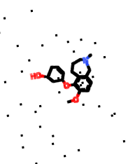 COc1ccc2c(c1O[C@@H]1C=CC[C@H](O)C1)CCCN(C)C2